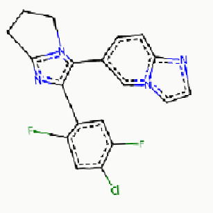 Fc1cc(-c2nc3n(c2-c2ccc4nccn4c2)CCC3)c(F)cc1Cl